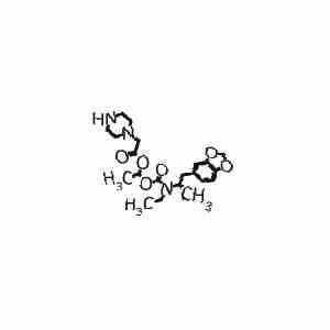 CCN(C(=O)OC(C)OC(=O)CN1CCNCC1)C(C)Cc1ccc2c(c1)OCO2